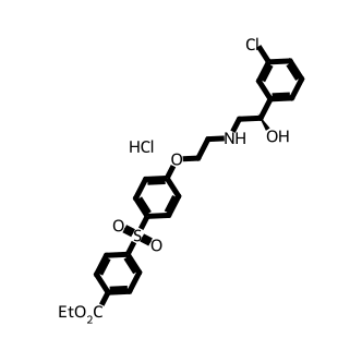 CCOC(=O)c1ccc(S(=O)(=O)c2ccc(OCCNC[C@H](O)c3cccc(Cl)c3)cc2)cc1.Cl